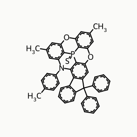 Cc1ccc(N2c3cc(C)cc4c3P3(=S)c5c(cc(C)cc5Oc5cc6c(c2c53)-c2ccccc2C6(c2ccccc2)c2ccccc2)O4)cc1